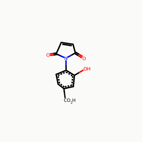 O=C(O)c1ccc(N2C(=O)C=CC2=O)c(O)c1